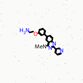 CNc1nc(-c2cccnc2)nc2ccc(-c3cccc(OCCN)c3)cc12